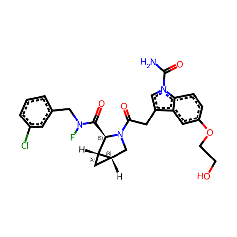 NC(=O)n1cc(CC(=O)N2C[C@@H]3C[C@@H]3[C@H]2C(=O)N(F)Cc2cccc(Cl)c2)c2cc(OCCO)ccc21